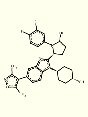 Cc1noc(C)c1-c1ccc2c(c1)nc([C@@H]1CCC(O)N1c1ccc(F)c(Cl)c1)n2[C@H]1CC[C@H](O)CC1